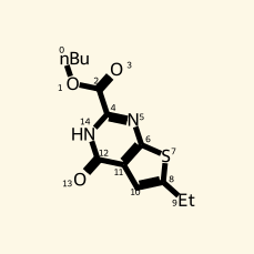 CCCCOC(=O)c1nc2sc(CC)cc2c(=O)[nH]1